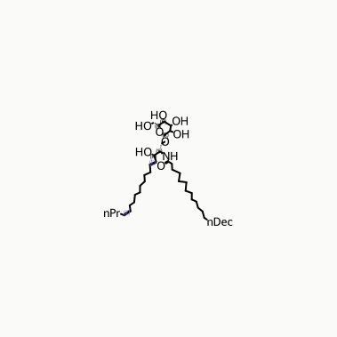 CCC/C=C\CCCCCCCC/C=C/[C@@H](O)[C@H](CO[C@@H]1O[C@H](CO)[C@H](O)C(O)C1O)NC(=O)CCCCCCCCCCCCCCCCCCCCCC